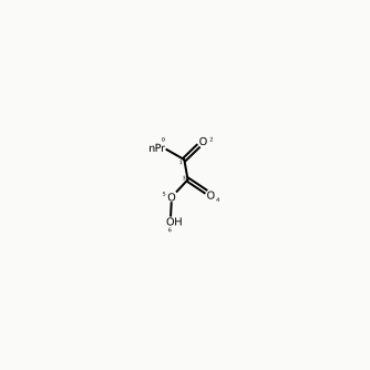 CCCC(=O)C(=O)OO